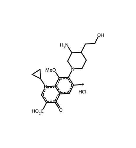 COc1c(N2CCC(CCO)C(N)C2)c(F)cc2c(=O)c(C(=O)O)cn(C3CC3)c12.Cl